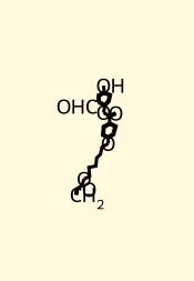 C=CC(=O)OCCCCCCOc1ccc(C(=O)Oc2ccc(O)cc2C=O)cc1